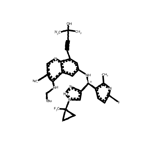 Cc1nc(F)ccc1[C@H](Nc1cc(C#CC(C)(C)O)c2ncc(C#N)c(NCC(C)(C)C)c2c1)c1cn(C2(C(F)(F)F)CC2)nn1